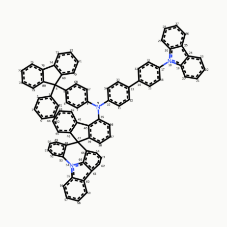 c1ccc(C2(c3ccc(N(c4ccc(-c5ccc(-n6c7ccccc7c7ccccc76)cc5)cc4)c4cccc5c4-c4ccccc4C54c5ccccc5-n5c6ccccc6c6cccc4c65)cc3)c3ccccc3-c3ccccc32)cc1